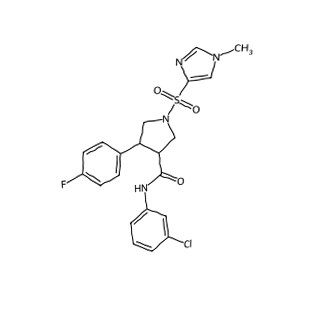 Cn1cnc(S(=O)(=O)N2CC(C(=O)Nc3cccc(Cl)c3)C(c3ccc(F)cc3)C2)c1